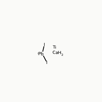 [CaH2].[I][Pb][I].[Ti]